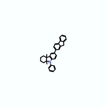 CC12CCCCC1(C)N(c1ccccc1)c1ccc(-c3ccc4c(c3)Cc3ccccc3-4)cc12